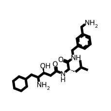 CC(C)C[C@H](NC(=O)C[C@H](O)C(N)CC1CCCCC1)C(=O)NCc1cccc(CN)c1